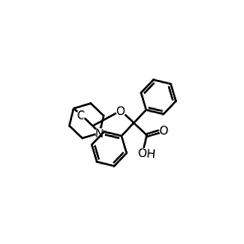 O=C(O)C(OC1CC2CCN1CC2)(c1ccccc1)c1ccccc1